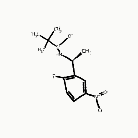 C[C@H](N[S+]([O-])C(C)(C)C)c1cc([N+](=O)[O-])ccc1F